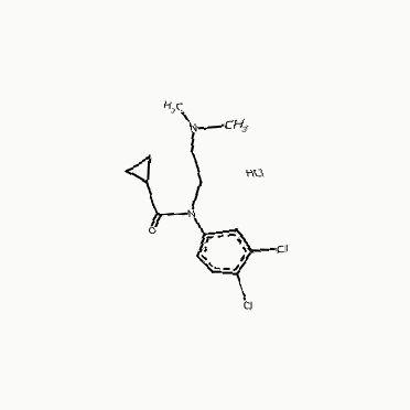 CN(C)CCN(C(=O)C1CC1)c1ccc(Cl)c(Cl)c1.Cl